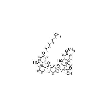 CCCCCCCCOc1ccc(-c2ccccc2C(=O)c2ccccc2)c(O)c1.COc1ccc(C(=O)c2ccccc2C(=O)O)c(O)c1